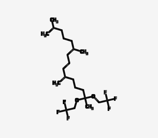 CC(C)CCCC(C)CCCC(C)CCCC(C)(OCC(F)(F)F)OCC(F)(F)F